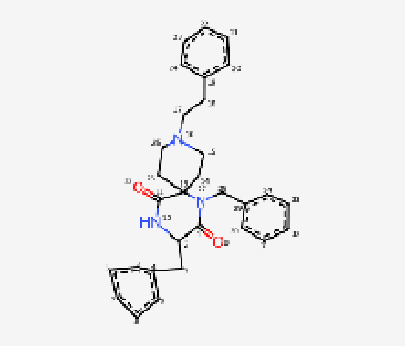 O=C1C(Cc2ccccc2)NC(=O)C2(CCN(CCc3ccccc3)CC2)N1Cc1ccccc1